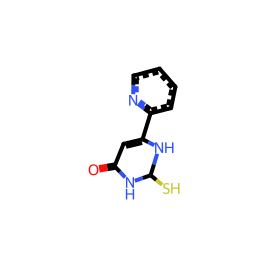 O=C1C=C(c2ccccn2)NC(S)N1